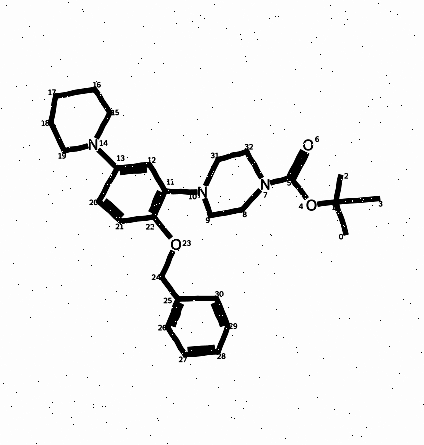 CC(C)(C)OC(=O)N1CCN(c2cc(N3CCCCC3)ccc2OCc2ccccc2)CC1